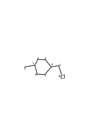 CC1CCC(CCl)CC1